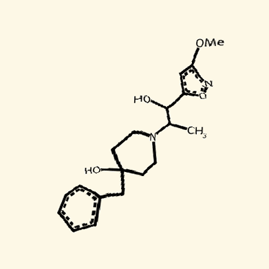 COc1cc(C(O)C(C)N2CCC(O)(Cc3ccccc3)CC2)on1